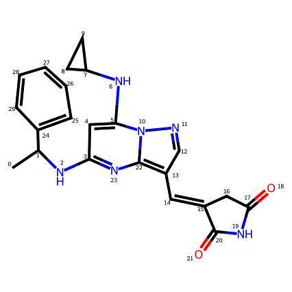 CC(Nc1cc(NC2CC2)n2ncc(C=C3CC(=O)NC3=O)c2n1)c1ccccc1